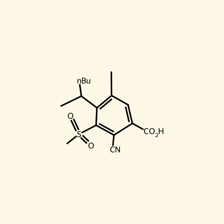 CCCCC(C)c1c(C)cc(C(=O)O)c(C#N)c1S(C)(=O)=O